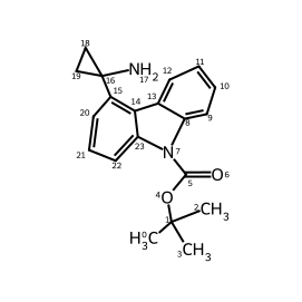 CC(C)(C)OC(=O)n1c2ccccc2c2c(C3(N)CC3)cccc21